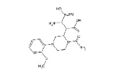 COc1ccccc1N1CCN(C(N)=O)C(C(C(=O)O)[C@H](N)C(=O)O)C1